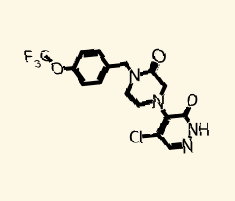 O=C1CN(c2c(Cl)cn[nH]c2=O)CCN1Cc1ccc(OC(F)(F)F)cc1